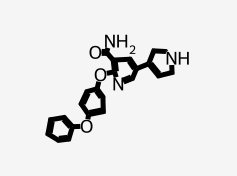 NC(=O)c1cc(C2=CCNCC2)cnc1Oc1ccc(Oc2ccccc2)cc1